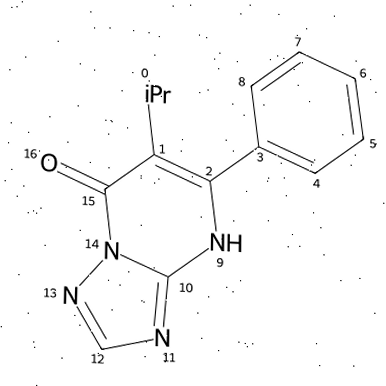 CC(C)c1c(-c2ccccc2)[nH]c2ncnn2c1=O